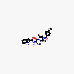 CC(C)(C)[C@H](NC(=O)c1cc2ccccc2[nH]1)C(=O)N1C[C@@H]2C[C@H]1CN2C(=O)c1ccc(C#N)cc1